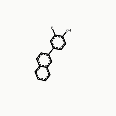 Oc1ccc(-c2ccc3ccccc3c2)cc1F